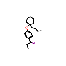 CCCCC1(Oc2ccc(C(I)CC)cc2)CCCCC1